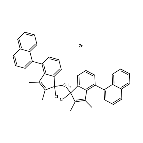 CC1=C(C)C(Cl)([SiH2]C2(Cl)C(C)=C(C)c3c(-c4cccc5ccccc45)cccc32)c2cccc(-c3cccc4ccccc34)c21.[Zr]